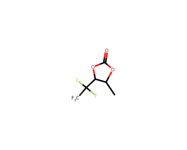 CC1OC(=O)OC1C(F)(F)C(F)(F)F